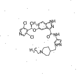 CCN1CCC(Cn2cc(NC(=O)c3n[nH]c4ccc(O[C@H](C)c5c(Cl)cncc5Cl)cc34)cn2)CC1